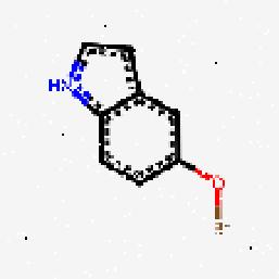 BrOc1ccc2[nH]ccc2c1